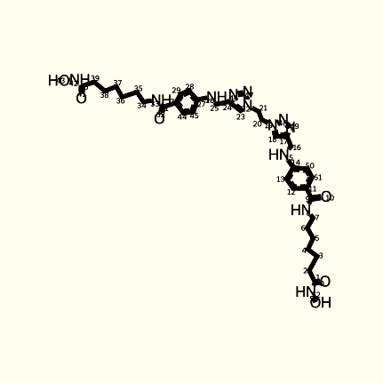 O=C(CCCCCCNC(=O)c1ccc(NCc2cn(CCn3cc(CNc4ccc(C(=O)NCCCCCCC(=O)NO)cc4)nn3)nn2)cc1)NO